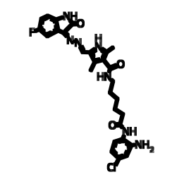 Cc1[nH]c(C=NN=C2C(=O)Nc3ccc(F)cc32)c(C)c1C(=O)NCCCCCC(=O)Nc1ccc(Cl)cc1N